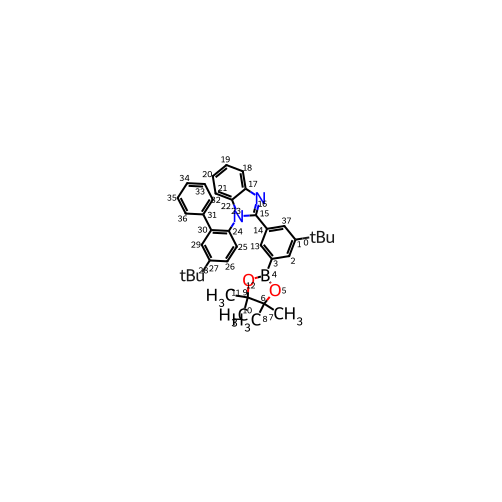 CC(C)(C)c1cc(B2OC(C)(C)C(C)(C)O2)cc(-c2nc3ccccc3n2-c2ccc(C(C)(C)C)cc2-c2ccccc2)c1